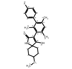 COC1CCC2(CC1)NC(=O)C(c1c(C)cc(C)c(-c3ccc(F)cc3)c1C)=C2O